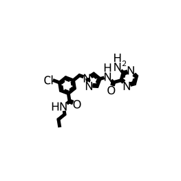 CCCNC(=O)c1cc(Cl)cc(Cn2cc(NC(=O)c3nccnc3N)cn2)c1